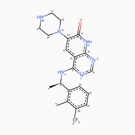 Cc1c([C@@H](C)Nc2ncnc3[nH]c(=O)c(N4CCNCC4)cc23)cccc1C(F)(F)F